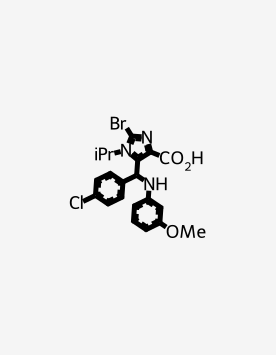 COc1cccc(NC(c2ccc(Cl)cc2)c2c(C(=O)O)nc(Br)n2C(C)C)c1